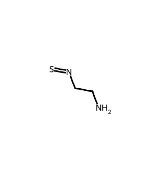 NCCN=S